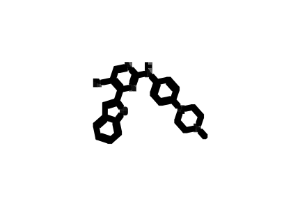 CN1CCN(c2ccc(Nc3ncc(Br)c(-c4cc5ccccc5o4)n3)cc2)CC1